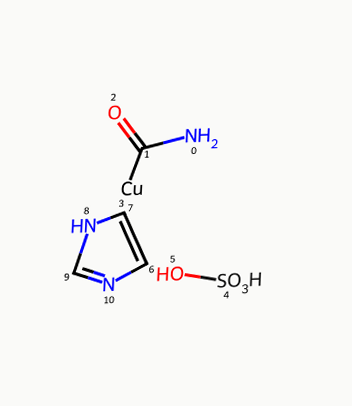 N[C](=O)[Cu].O=S(=O)(O)O.c1c[nH]cn1